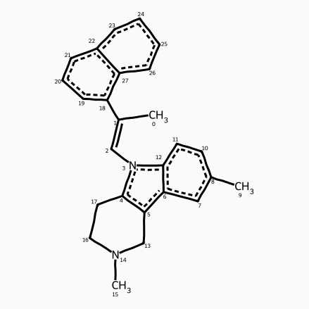 C/C(=C\n1c2c(c3cc(C)ccc31)CN(C)CC2)c1cccc2ccccc12